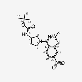 Cc1nc(N2CCC(NC(=O)OC(C)(C)C)C2)c2ccc([N+](=O)[O-])cc2n1